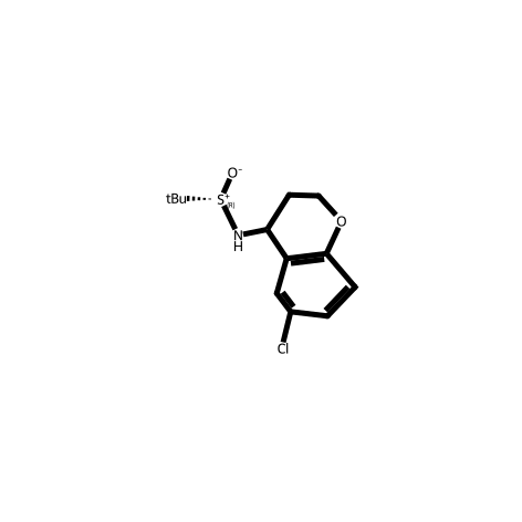 CC(C)(C)[S@+]([O-])NC1CCOc2ccc(Cl)cc21